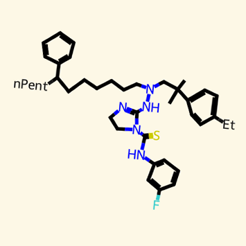 CCCCCC(CCCCCCN(CC(C)(C)c1ccc(CC)cc1)NC1=NCCN1C(=S)Nc1cccc(F)c1)c1ccccc1